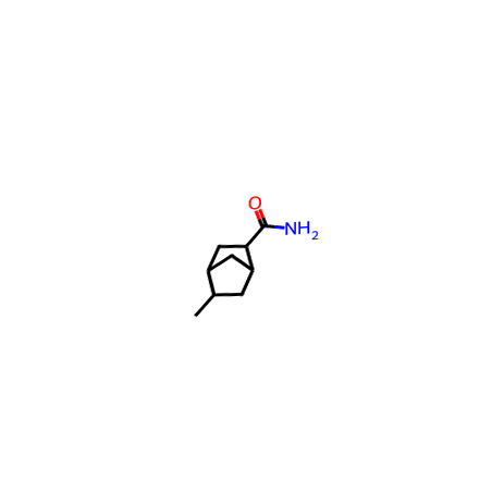 CC1CC2CC1CC2C(N)=O